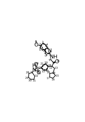 COc1ccc2nc(NCC(=O)C(CC3CCCC3)c3ccc(S(=O)(=O)NC4CCCCC4)cc3)sc2n1